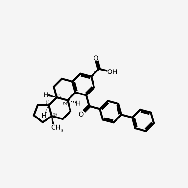 C[C@@]12CCC[C@H]1[C@@H]1CCc3cc(C(=O)O)cc(C(=O)c4ccc(-c5ccccc5)cc4)c3[C@H]1CC2